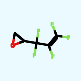 FC(F)=C(F)C(F)(F)C1CO1